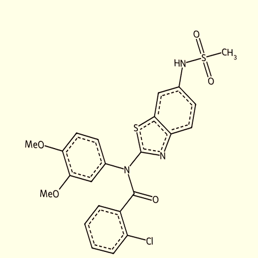 COc1ccc(N(C(=O)c2ccccc2Cl)c2nc3ccc(NS(C)(=O)=O)cc3s2)cc1OC